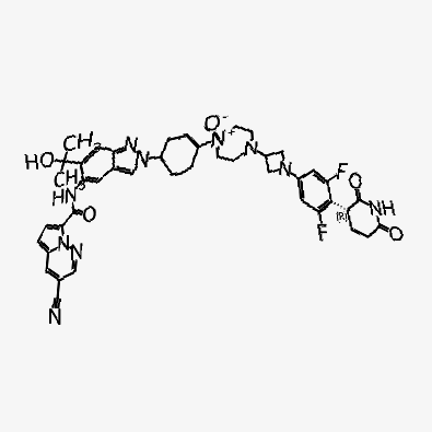 CC(C)(O)c1cc2nn(C3CCC([N+]4([O-])CCN(C5CN(c6cc(F)c([C@H]7CCC(=O)NC7=O)c(F)c6)C5)CC4)CC3)cc2cc1NC(=O)c1ccc2cc(C#N)cnn12